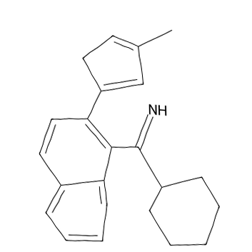 CC1=CCC(c2ccc3ccccc3c2C(=N)C2CCCCC2)=C1